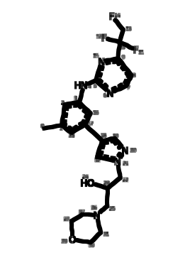 Cc1cc(Nc2nccc(C(F)(F)CF)n2)cc(-c2cnn(CC(O)CN3CCOCC3)c2)c1